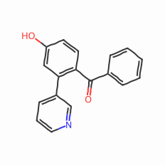 O=C(c1ccccc1)c1ccc(O)cc1-c1cccnc1